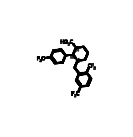 O=C(O)[C@H]1CCCN(Cc2cc(C(F)(F)F)ccc2C(F)(F)F)[C@H]1C1C=CC(C(F)(F)F)=CC1